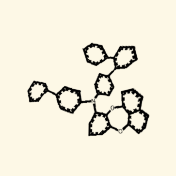 c1ccc(-c2ccc(N(c3ccc(-c4ccccc4-c4ccccc4)cc3)c3cccc4c3Oc3cccc5cccc(c35)O4)cc2)cc1